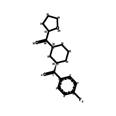 O=C(c1ccc(F)cc1)[C@H]1CCCN(C(=O)C2CCCO2)C1